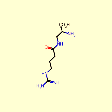 N=C(N)NCCCC(=O)NC[C@H](N)C(=O)O